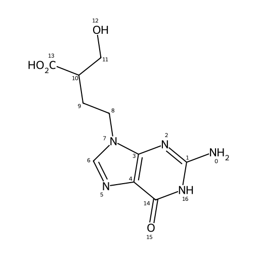 Nc1nc2c(ncn2CCC(CO)C(=O)O)c(=O)[nH]1